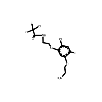 NCCOc1cc(OCCNC(=O)C(Cl)(Cl)Cl)c(Cl)cc1Cl